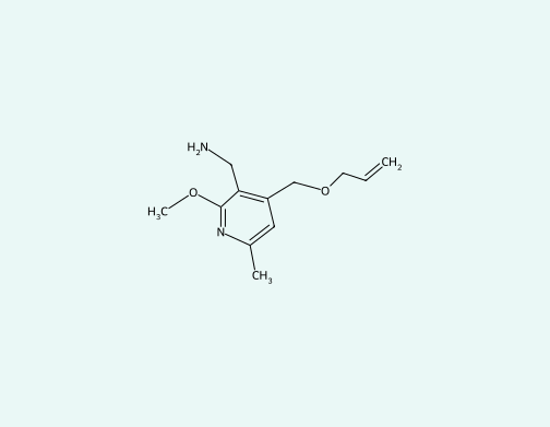 C=CCOCc1cc(C)nc(OC)c1CN